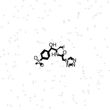 CS(=O)(=O)c1ccc([C@@H](O)[C@@H](CF)NC(=O)Cn2cnnn2)cc1